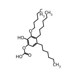 CCCCCCc1cc(OC(=O)O)c(O)c(OCCCCC)c1CCCCCC